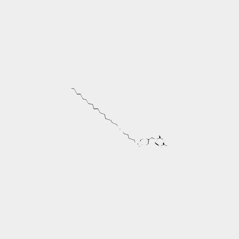 CCCCCCCCCCCCCCCCSSCCCCOP1(=O)COC(Cn2cnc(C)nc2=O)CO1